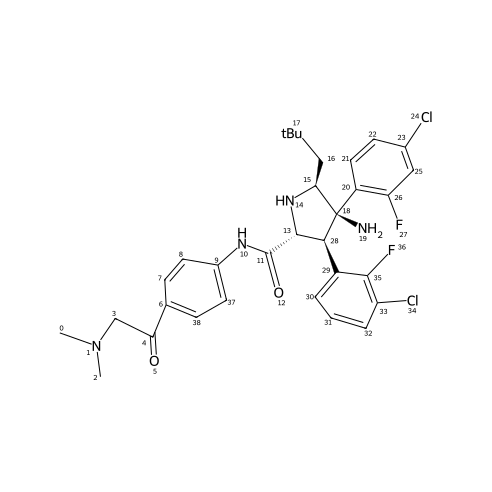 CN(C)CC(=O)c1ccc(NC(=O)[C@@H]2N[C@@H](CC(C)(C)C)[C@](N)(c3ccc(Cl)cc3F)[C@H]2c2cccc(Cl)c2F)cc1